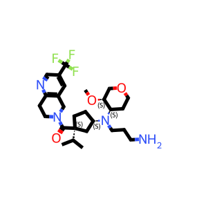 CO[C@@H]1COCC[C@@H]1N(CCCN)[C@H]1CC[C@@](C(=O)N2CCc3ncc(C(F)(F)F)cc3C2)(C(C)C)C1